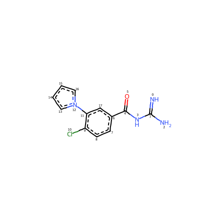 N=C(N)NC(=O)c1ccc(Cl)c(-n2cccc2)c1